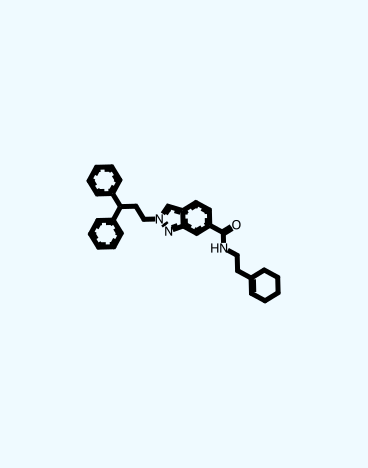 O=C(NCCC1=CCCCC1)c1ccc2cn(CCC(c3ccccc3)c3ccccc3)nc2c1